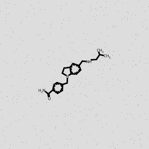 CC(C)CCNCc1ccc2c(c1)CCN2Cc1ccc(C(N)=O)cc1